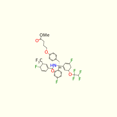 COC(=O)CCCOc1ccc(C[C@](NC(=O)C2=CC(C(F)(F)F)C(F)C=C2)(C2=CC(OC(F)(F)C(F)F)CC(F)=C2)c2ccc(F)cc2)cc1